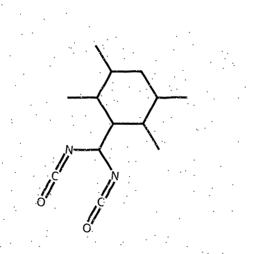 CC1CC(C)C(C)C(C(N=C=O)N=C=O)C1C